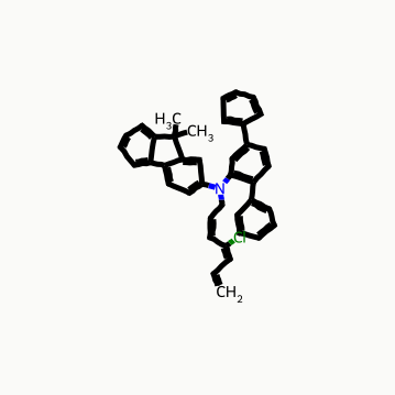 C=C/C=C(Cl)\C=C/CN(c1ccc2c(c1)C(C)(C)c1ccccc1-2)c1cc(-c2ccccc2)ccc1-c1ccccc1